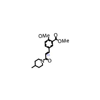 COC(=O)c1cc(/C=C/C(=O)N2CCC(C)CC2)ccc1OC